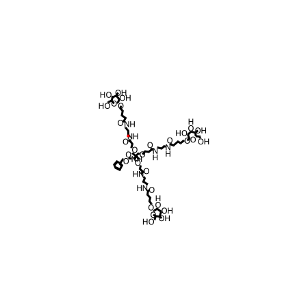 O=C(CCCCOC1OC(CO)C(O)C(O)C1O)NCCCNC(=O)CCOCC(COCCC(=O)NCCCNC(=O)CCCCOC1OC(CO)C(O)C(O)C1O)(COCCC(=O)NCCCNC(=O)CCCCOC1OC(CO)C(O)C(O)C1O)NC(=O)OCc1ccccc1